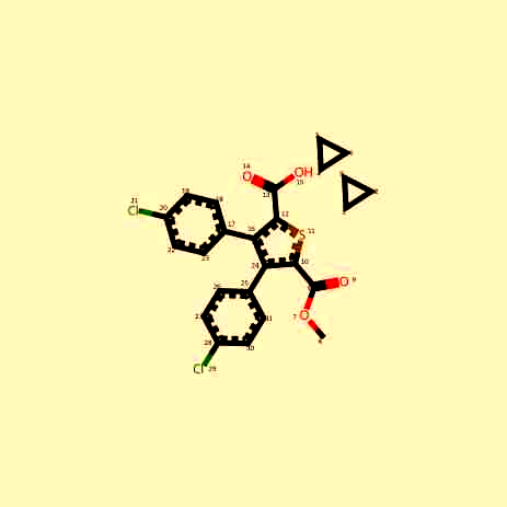 C1CC1.C1CC1.COC(=O)c1sc(C(=O)O)c(-c2ccc(Cl)cc2)c1-c1ccc(Cl)cc1